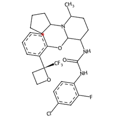 CC1CCC(NC(=O)Nc2ccc(Cl)cc2F)C(Oc2ccccc2[C@@]2(C(F)(F)F)CCO2)N1C1CCCC1